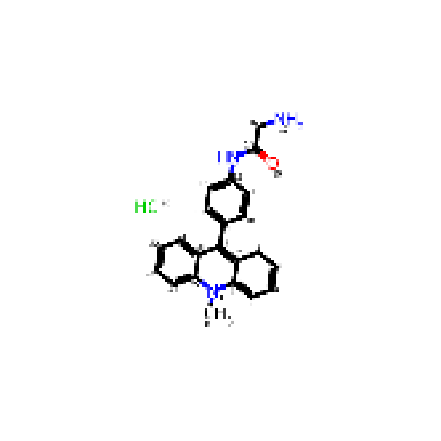 CN1C2=CC=CCC2=C(c2ccc(NC(=O)CN)cc2)c2ccccc21.Cl